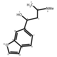 CNC(C)CC(O)c1ccc2ccoc2c1